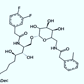 CCCCCCCCCCCCCC[C@@H](O)[C@@H](O)[C@H](CO[C@H]1OC(CNC(=O)Cc2ccccc2C)[C@H](O)[C@H](O)C1O)NC(=O)Cc1ccc(F)c(F)c1